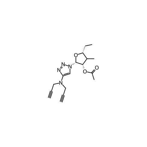 C#CCN(CC#C)c1cn([C@@H]2O[C@H](CC)C(C)[C@@H]2OC(C)=O)nn1